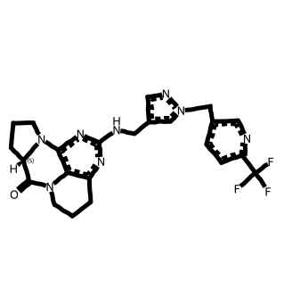 O=C1[C@@H]2CCCN2c2nc(NCc3cnn(Cc4ccc(C(F)(F)F)nc4)c3)nc3c2N1CCC3